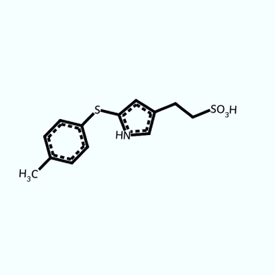 Cc1ccc(Sc2cc(CCS(=O)(=O)O)c[nH]2)cc1